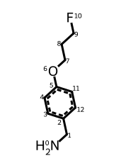 NCc1ccc(OCCCF)cc1